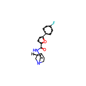 O=C(N[C@H]1CN2CCC1CC2)c1ccc(-c2ccc(F)cc2)o1